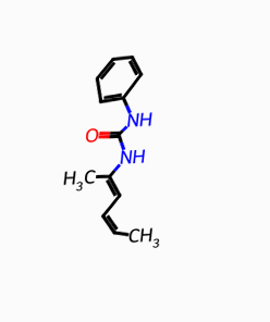 C/C=C\C=C(/C)NC(=O)Nc1ccccc1